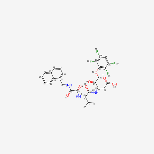 CC(C)[C@H](NC(=O)C(=O)NCc1cccc2ccccc12)C(=O)N[C@@H](CC(=O)O)C(=O)COc1c(F)c(F)cc(F)c1F